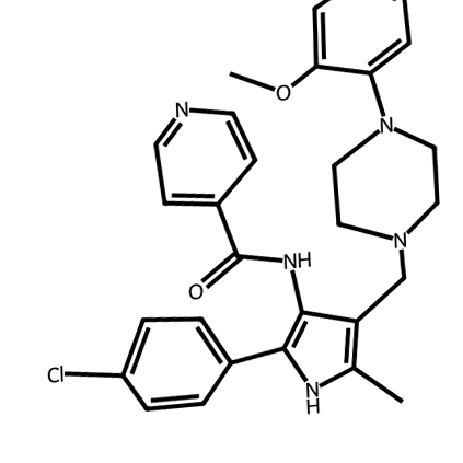 COc1ccccc1N1CCN(Cc2c(C)[nH]c(-c3ccc(Cl)cc3)c2NC(=O)c2ccncc2)CC1